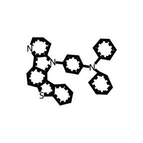 c1ccc(N(c2ccccc2)c2ccc(-n3c4cccnc4c4ccc5sc6ccccc6c5c43)cc2)cc1